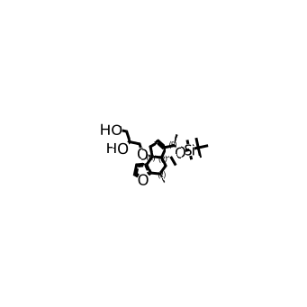 CC[C@]12C[C@@H](C)c3occc3[C@@]1(OCC(O)CO)CC=C2[C@@H](C)O[Si](C)(C)C(C)(C)C